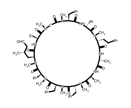 CC[C@@H]1NC(=O)[C@H](C[C@H](C)CC=O)N(C)C(=O)[C@H](C(C)C)N(C)C(=O)[C@H](CC(C)C)N(C)C(=O)[C@@H](CC(C)C)N(C)C(=O)[C@H](C)NC(=O)[C@@H](C)NC(=O)[C@@H](CCC(C)C)N(C)C(=O)[C@@H](C(C)C)NC(=O)[C@H](CC(C)C)N(C)C(=O)CN(C)C1=O